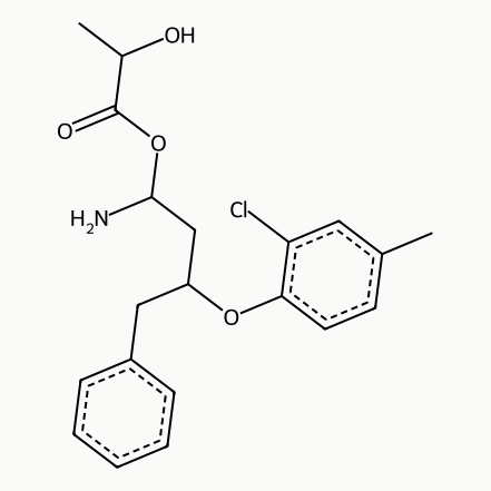 Cc1ccc(OC(Cc2ccccc2)CC(N)OC(=O)C(C)O)c(Cl)c1